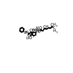 CO[C@]12C(NOC(=O)C/C(C)=C/CC=C(C)C)CCC1(CO)[C@@]2(C)/C(C)=N/Oc1ccccc1